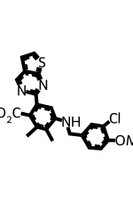 COc1ccc(CNc2cc(-c3ncc4ccsc4n3)c(C(=O)O)c(C)c2C)cc1Cl